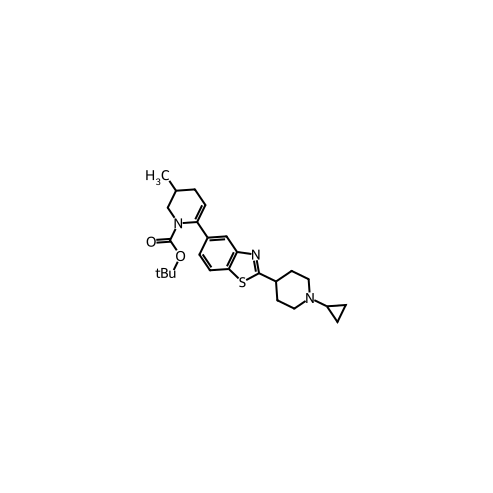 CC1CC=C(c2ccc3sc(C4CCN(C5CC5)CC4)nc3c2)N(C(=O)OC(C)(C)C)C1